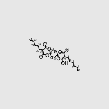 C=CC=CC=CC1=C(O)OC2(CCC3(CC2)OC(=O)C(=CC=CC=C)C(=O)O3)OC1=O